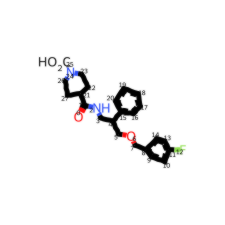 O=C(NCC(COCc1ccc(F)cc1)c1ccccc1)C1CCN(C(=O)O)CC1